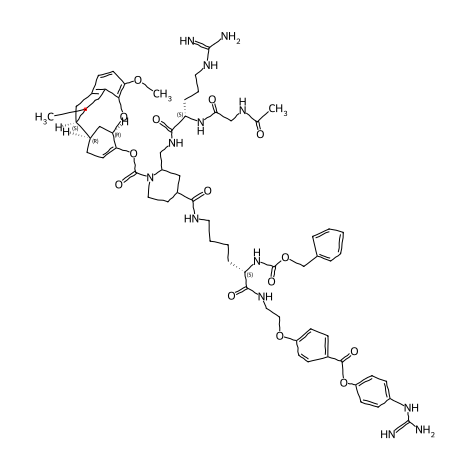 COc1ccc2c3c1O[C@@H]1C[C@@H](CC=C1OC(=O)N1CCC(C(=O)NCCCC[C@H](NC(=O)OCc4ccccc4)C(=O)NCCOc4ccc(C(=O)Oc5ccc(NC(=N)N)cc5)cc4)CC1CNC(=O)[C@H](CCCNC(=N)N)NC(=O)CNC(C)=O)[C@@H](C2)C(C)CCC3